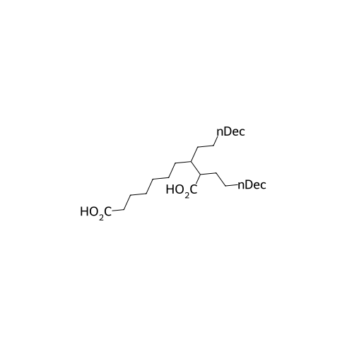 CCCCCCCCCCCCC(CCCCCCC(=O)O)C(CCCCCCCCCCCC)C(=O)O